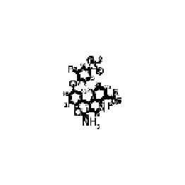 CS(=O)(=O)c1ccc(Oc2cccc(-c3c(C(N)=O)cnc4c(C(F)(F)F)cccc34)c2)c(F)c1